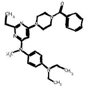 CCc1nc(N2CCN(C(=O)c3ccccc3)CC2)cc(N(C)c2ccc(N(CC)CC)cc2)n1